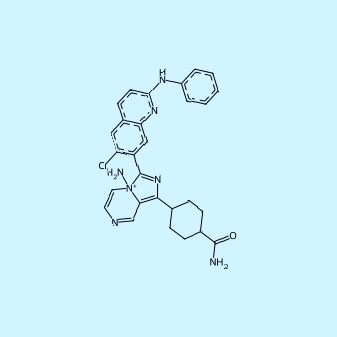 NC(=O)C1CCC(C2=C3C=NC=C[N+]3(N)C(c3cc4nc(Nc5ccccc5)ccc4cc3Cl)=N2)CC1